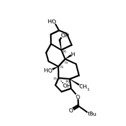 CC(C)(C)C(=O)OC1CC[C@]2(O)[C@]1(C)CC[C@H]1[C@@]3(CO)CCC(O)CC3CC[C@]12O